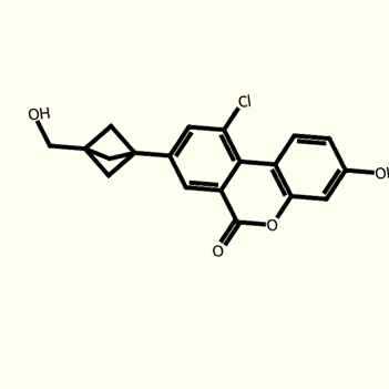 O=c1oc2cc(O)ccc2c2c(Cl)cc(C34CC(CO)(C3)C4)cc12